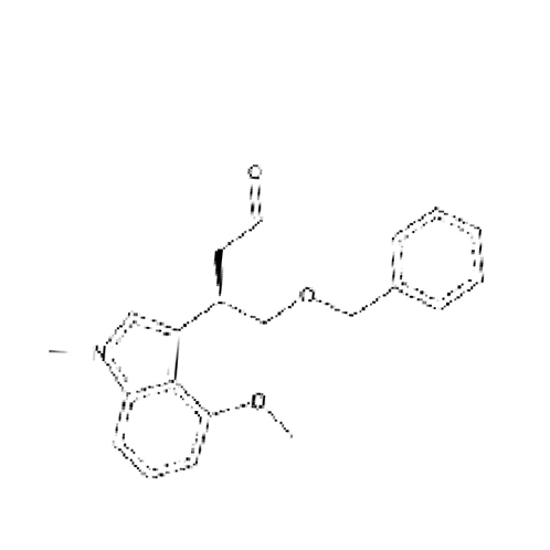 COc1cccc2c1c([C@@H](CC=O)COCc1ccccc1)cn2C